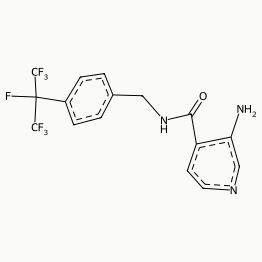 Nc1cnccc1C(=O)NCc1ccc(C(F)(C(F)(F)F)C(F)(F)F)cc1